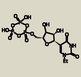 CCn1cc([C@@H]2O[C@H](COP3(=O)OP(=O)(O)OP(=O)(O)O3)C(O)[C@@H]2O)c(=O)[nH]c1=O